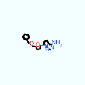 Nc1ncnn2c([C@H]3CCC(COCc4ccccc4)O3)ccc12